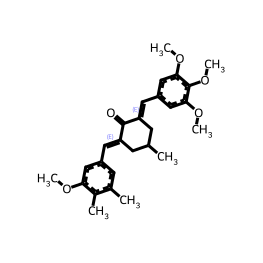 COc1cc(/C=C2\CC(C)C/C(=C\c3cc(OC)c(OC)c(OC)c3)C2=O)cc(C)c1C